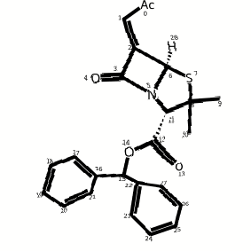 CC(=O)/C=C1/C(=O)N2[C@@H]1SC(C)(C)[C@@H]2C(=O)OC(c1ccccc1)c1ccccc1